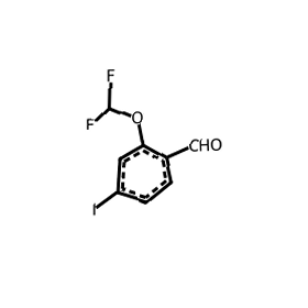 O=Cc1ccc(I)cc1OC(F)F